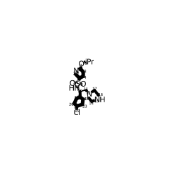 CC(C)Oc1ccc(S(=O)(=O)N[C@@H](CN2CCNCC2)c2ccc(Cl)cc2)cn1